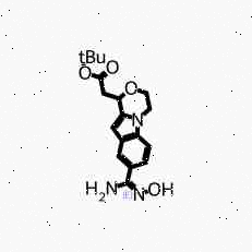 CC(C)(C)OC(=O)CC1OCCn2c1cc1cc(/C(N)=N\O)ccc12